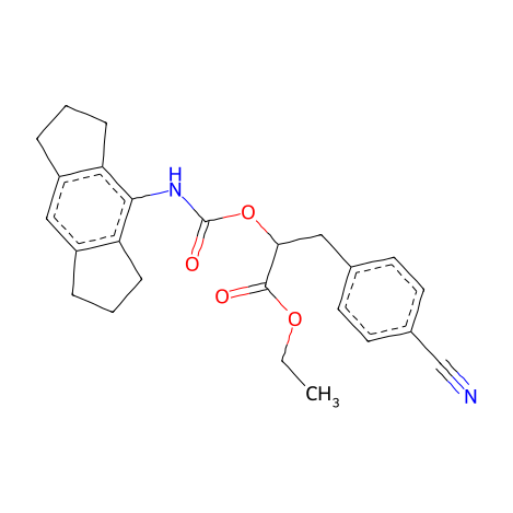 CCOC(=O)C(Cc1ccc(C#N)cc1)OC(=O)Nc1c2c(cc3c1CCC3)CCC2